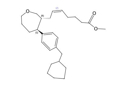 COC(=O)CCC/C=C\C[C@H]1COCCC[C@@H]1c1ccc(CC2CCCCC2)cc1